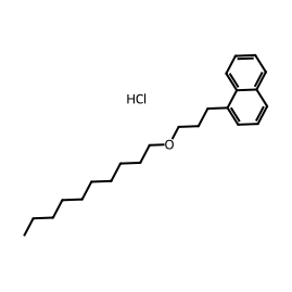 CCCCCCCCCCOCCCc1cccc2ccccc12.Cl